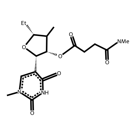 CC[C@H]1O[C@@H](c2cn(C)c(=O)[nH]c2=O)[C@@H](OC(=O)CCC(=O)NC)C1C